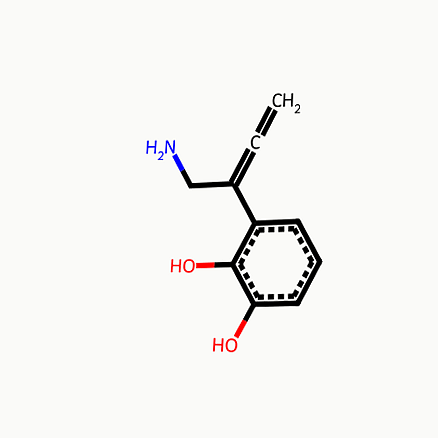 C=C=C(CN)c1cccc(O)c1O